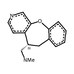 CNC[C@H]1Cc2ccccc2Oc2cnccc21